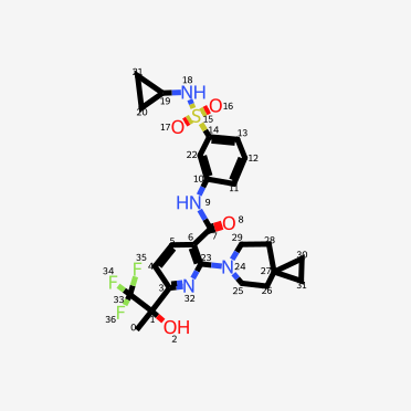 CC(O)(c1ccc(C(=O)Nc2cccc(S(=O)(=O)NC3CC3)c2)c(N2CCC3(CC2)CC3)n1)C(F)(F)F